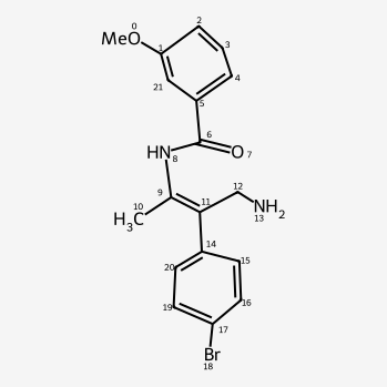 COc1cccc(C(=O)NC(C)=C(CN)c2ccc(Br)cc2)c1